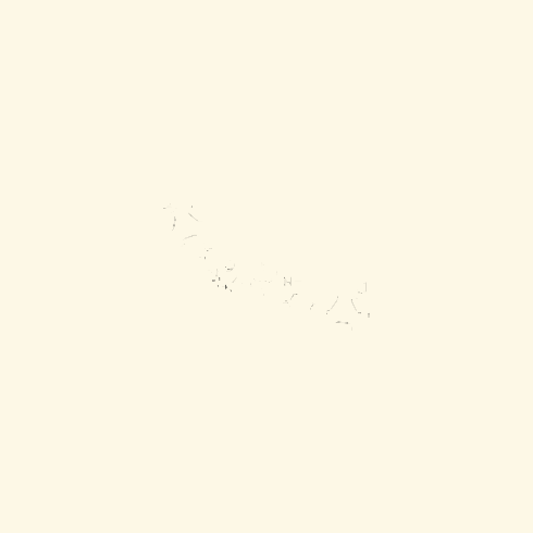 O=C(COc1ccc(Cl)c(Cl)c1)NC12CC(c3nnc(COc4ccc(Cl)cc4)o3)(C1)C2